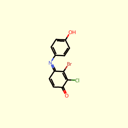 O=C1C=CC(=Nc2ccc(O)cc2)C(Br)=C1Cl